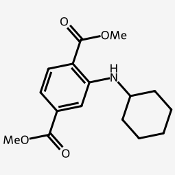 COC(=O)c1ccc(C(=O)OC)c(NC2CCCCC2)c1